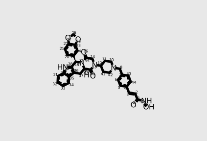 O=C(/C=C/c1ccc(CN2CCC(N3CC(=O)N4[C@H](c5ccc6c(c5)OCO6)c5[nH]c6ccccc6c5C[C@@H]4C3=O)CC2)cc1)NO